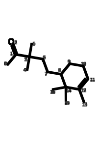 CC(=O)C(C)(C)[CH]CC1CCC=C(C)C1(C)C